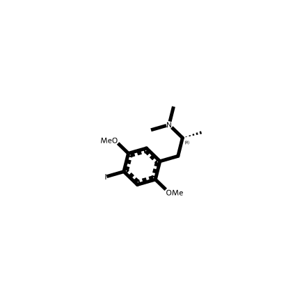 COc1cc(C[C@@H](C)N(C)C)c(OC)cc1I